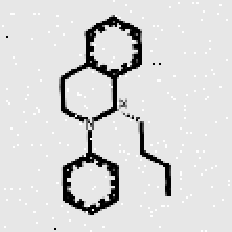 CCCC[C@H]1c2ccccc2CCN1c1ccccc1